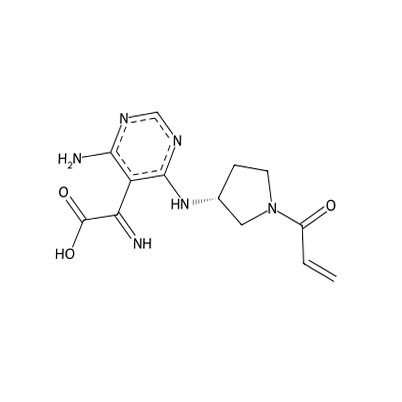 C=CC(=O)N1CC[C@@H](Nc2ncnc(N)c2C(=N)C(=O)O)C1